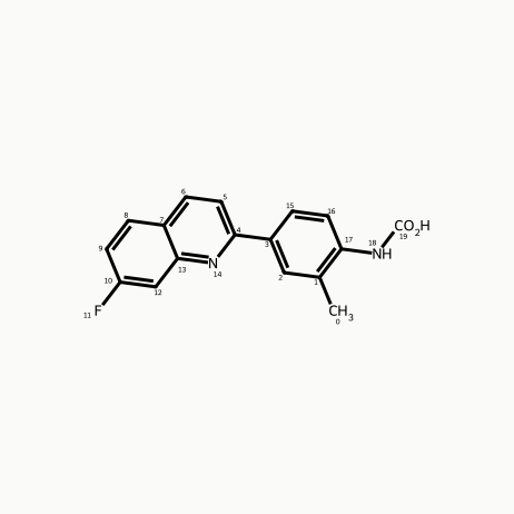 Cc1cc(-c2ccc3ccc(F)cc3n2)ccc1NC(=O)O